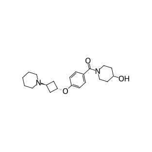 O=C(c1ccc(O[C@H]2C[C@H](N3CCCCC3)C2)cc1)N1CCC(O)CC1